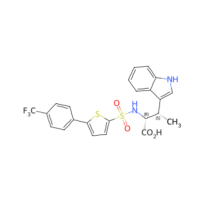 C[C@@H](c1c[nH]c2ccccc12)[C@@H](NS(=O)(=O)c1ccc(-c2ccc(C(F)(F)F)cc2)s1)C(=O)O